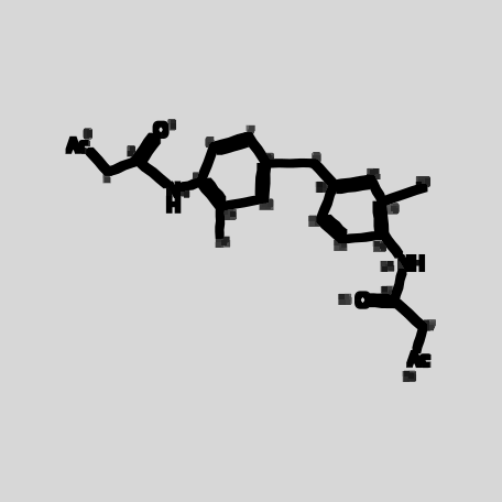 CC(=O)CC(=O)Nc1ccc(Cc2ccc(NC(=O)CC(C)=O)c(C)c2)cc1C